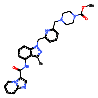 CCc1nn(Cc2cccc(CN3CCN(C(=O)OC(C)(C)C)CC3)n2)c2cccc(NC(=O)c3cnc4ccccn34)c12